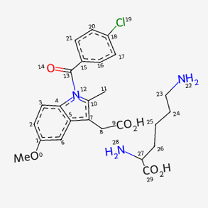 COc1ccc2c(c1)c(CC(=O)O)c(C)n2C(=O)c1ccc(Cl)cc1.NCCCCC(N)C(=O)O